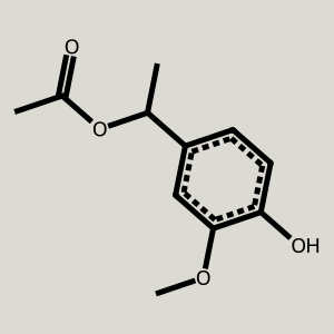 COc1cc(C(C)OC(C)=O)ccc1O